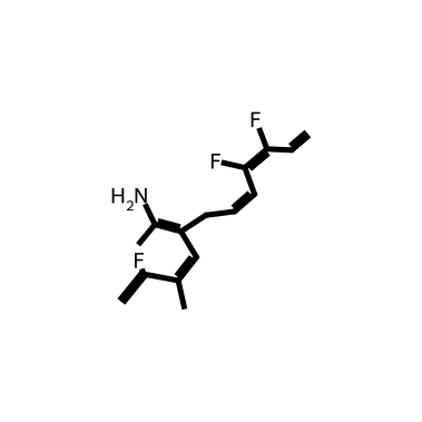 C=C/C(F)=C(F)\C=C/CC(/C=C(/C)C(=C)F)=C(/C)N